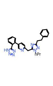 CCCn1nc(CCc2ccccc2)nc1Cc1ccc(-c2ccccc2-c2nnn[nH]2)cn1